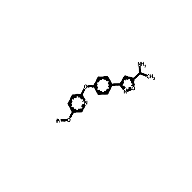 CC(C)Oc1ccc(Oc2ccc(-c3cc(C(C)N)on3)cc2)nc1